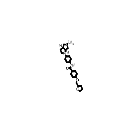 CN1C[C@H]2CCN(c3ccc(NC(=O)c4ccc(OCC5CCCO5)cc4)cc3)[C@H]2C1